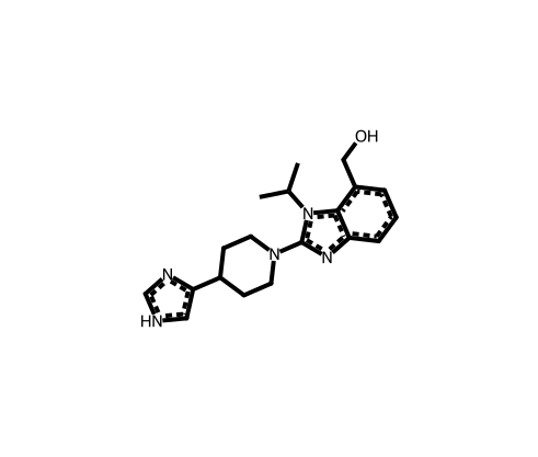 CC(C)n1c(N2CCC(c3c[nH]cn3)CC2)nc2cccc(CO)c21